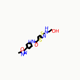 Cc1nnc(-c2ccc(NC(=O)c3cc4sc(NCCO)nc4s3)cc2)o1